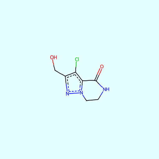 O=C1NCCn2nc(CO)c(Cl)c21